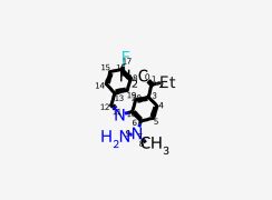 C=C(CC)c1ccc(N(C)N)c(/N=C\c2ccc(F)cc2)c1